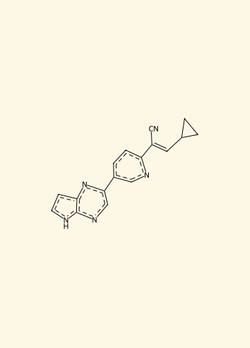 N#C/C(=C\C1CC1)c1ccc(-c2cnc3[nH]ccc3n2)cn1